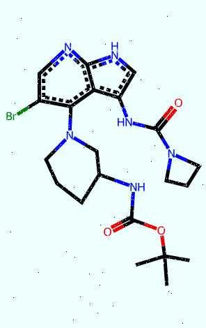 CC(C)(C)OC(=O)NC1CCCN(c2c(Br)cnc3[nH]cc(NC(=O)N4CCC4)c23)C1